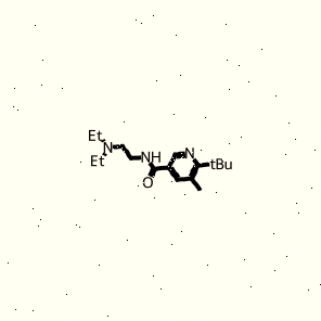 CCN(CC)CCNC(=O)c1cnc(C(C)(C)C)c(C)c1